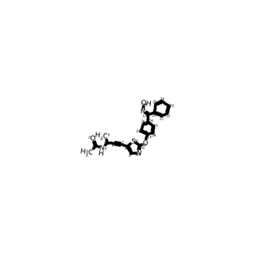 CC(=O)NC(C)C#Cc1cnc(Oc2ccc(C(=NO)c3ccccc3)cc2)s1